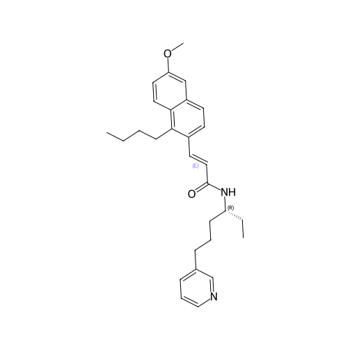 CCCCc1c(/C=C/C(=O)N[C@H](CC)CCCc2cccnc2)ccc2cc(OC)ccc12